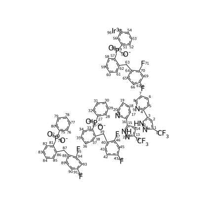 FC(F)(F)c1cc(-c2ccccn2)[nH]n1.FC(F)(F)c1cc(-c2ccccn2)[nH]n1.O=P([O-])(c1ccccc1)c1ccccc1Cc1ccc(F)cc1F.O=P([O-])(c1ccccc1)c1ccccc1Cc1ccc(F)cc1F.O=P([O-])(c1ccccc1)c1ccccc1Cc1ccc(F)cc1F.[Ir+3]